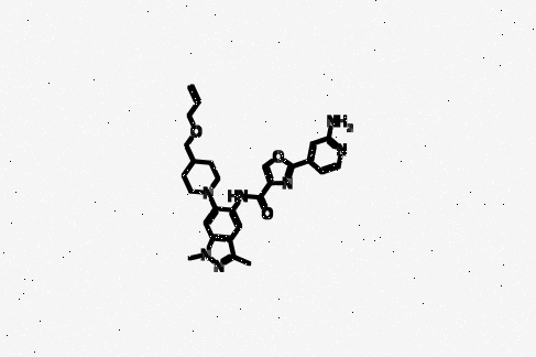 C=CCOCC1CCN(c2cc3c(cc2NC(=O)c2coc(-c4ccnc(N)c4)n2)c(C)nn3C)CC1